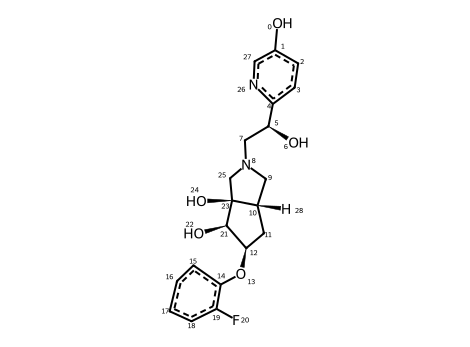 Oc1ccc([C@@H](O)CN2C[C@@H]3C[C@@H](Oc4ccccc4F)[C@@H](O)[C@]3(O)C2)nc1